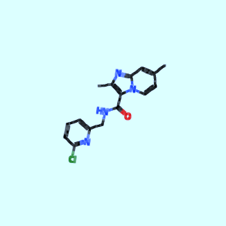 Cc1ccn2c(C(=O)NCc3cccc(Cl)n3)c(C)nc2c1